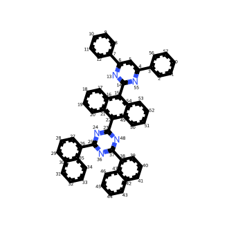 c1ccc(-c2cc(-c3ccccc3)nc(-c3c4ccccc4c(-c4nc(-c5cccc6ccccc56)nc(-c5cccc6ccccc56)n4)c4ccccc34)n2)cc1